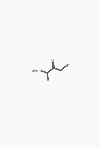 [CH2]C(C)CC(=O)C(C)CCCCC